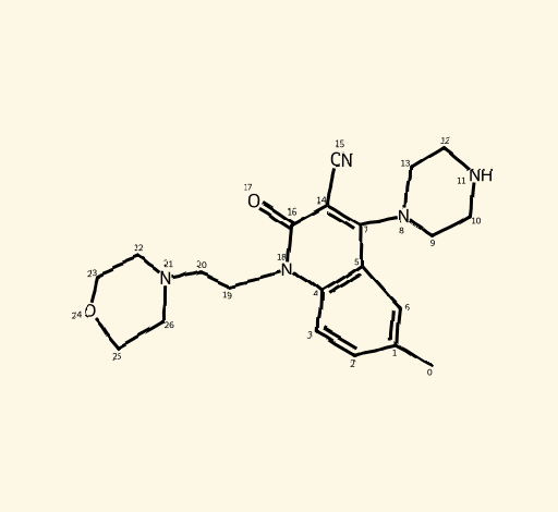 Cc1ccc2c(c1)c(N1CCNCC1)c(C#N)c(=O)n2CCN1CCOCC1